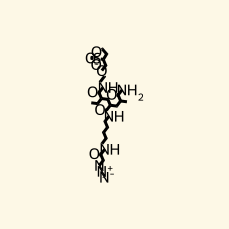 CCC(CC(CC(C)C(N)=O)C(=O)NCCCCCNC(=O)CN=[N+]=[N-])C(=O)NCCOCC1CCOS1(=O)=O